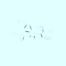 C=C(C/C(=C/N)C(C)=N)C(=C)c1ccc(C)cc1C(C)C